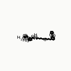 CC(=O)ON(C=O)c1cc(C(O)CNCCCCCCOCCCCc2cccc(S(=O)(=O)C3CCCC3)c2)ccc1O